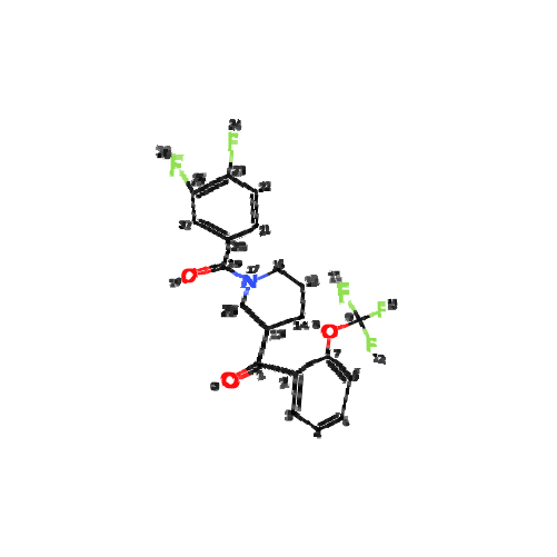 O=C(c1ccccc1OC(F)(F)F)C1CCCN(C(=O)c2ccc(F)c(F)c2)C1